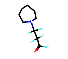 O=C(F)C(F)(F)C(F)(F)N1CCCCCC1